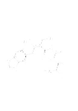 CCN(C(=O)OC(C)OC(=O)C(C)N)C(C)Cc1ccc2c(c1)OCO2